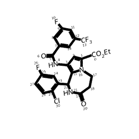 CCOC(=O)c1cc(NC(=O)c2cc(F)cc(C(F)(F)F)c2)c2n1CCC(=O)NC2c1cc(F)ccc1Cl